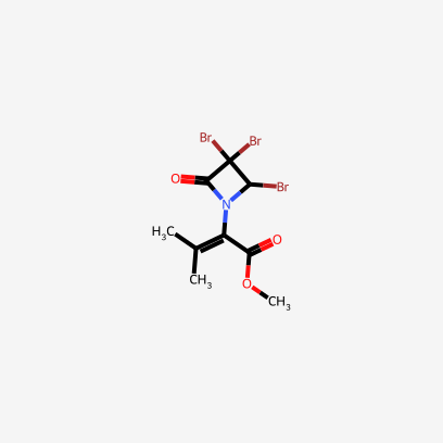 COC(=O)C(=C(C)C)N1C(=O)C(Br)(Br)C1Br